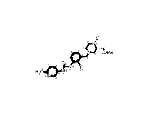 COC[C@@H]1CN(Cc2cccc(NC(=O)Nc3ccc(C)nc3)c2F)CCN1C(C)=O